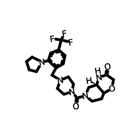 O=C1COC2CCN(C(=O)N3CCN(Cc4ccc(C(F)(F)F)cc4N4CCCC4)CC3)C[C@H]2N1